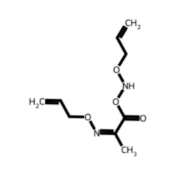 C=CCON=C(C)C(=O)ONOCC=C